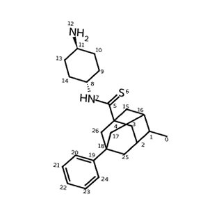 CC1C2CC3(C(=S)N[C@H]4CC[C@H](N)CC4)CC1CC(c1ccccc1)(C2)C3